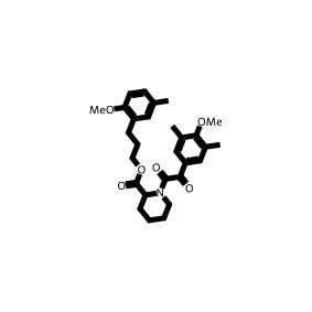 COc1ccc(C)cc1CCCOC(=O)C1CCCCN1C(=O)C(=O)c1cc(C)c(OC)c(C)c1